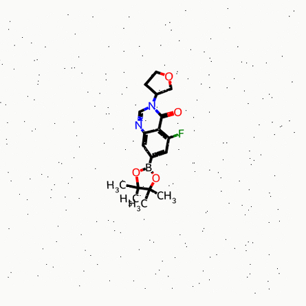 CC1(C)OB(c2cc(F)c3c(=O)n(C4CCOC4)cnc3c2)OC1(C)C